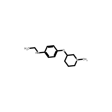 CCNc1ccc(OC2CCCN(C)C2)cc1